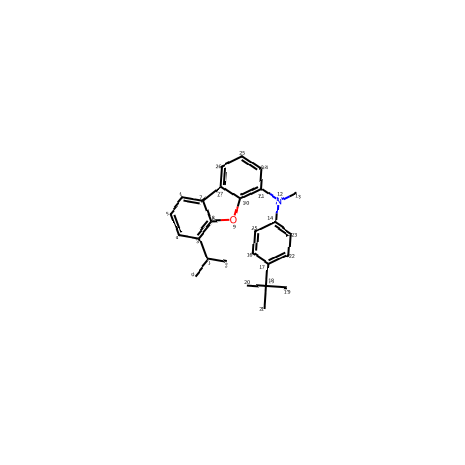 CC(C)c1cccc2c1oc1c(N(C)c3ccc(C(C)(C)C)cc3)cccc12